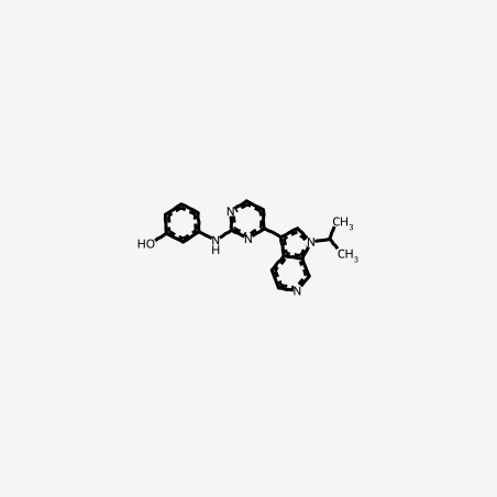 CC(C)n1cc(-c2ccnc(Nc3cccc(O)c3)n2)c2ccncc21